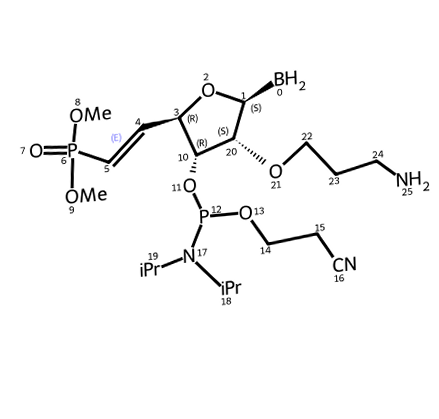 B[C@@H]1O[C@H](/C=C/P(=O)(OC)OC)[C@@H](OP(OCCC#N)N(C(C)C)C(C)C)[C@H]1OCCCN